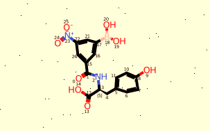 O=C(N[C@@H](Cc1ccc(O)cc1)C(=O)O)c1cc(B(O)O)cc([N+](=O)[O-])c1